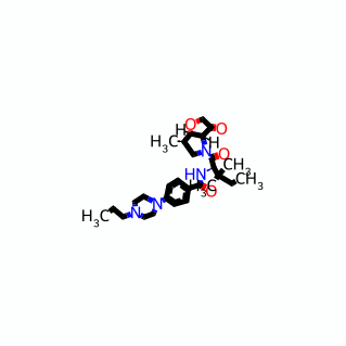 CCCN1CCN(c2ccc(C(=O)N[C@H](C(=O)N3C[C@H](C)[C@H]4OCC(=O)[C@H]43)C(C)(C)CC)cc2)CC1